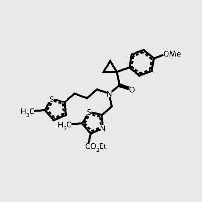 CCOC(=O)c1nc(CN(CCCc2ccc(C)s2)C(=O)C2(c3ccc(OC)cc3)CC2)sc1C